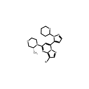 C[C@@H]1COCCN1c1cc(-c2ccnn2C2CCCCO2)n2ncc(Br)c2n1